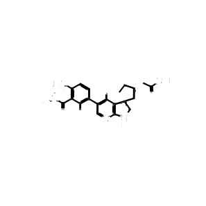 CN(C)C(=O)c1c(N)ccc(-c2cnc3c(c2Cl)[C@]2(CC[C@H](CC(N)=O)C2)CN3)c1F